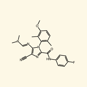 COc1ccc(C)c(-n2c(C(=O)Nc3ccc(F)cc3)nc(C#N)c2/N=C/N(C)C)c1C